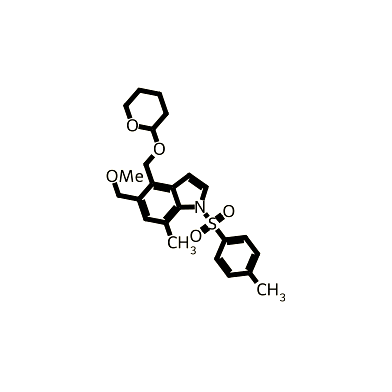 COCc1cc(C)c2c(ccn2S(=O)(=O)c2ccc(C)cc2)c1COC1CCCCO1